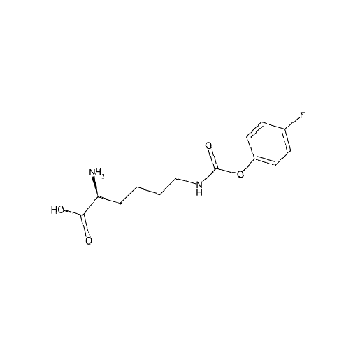 N[C@@H](CCCCNC(=O)Oc1ccc(F)cc1)C(=O)O